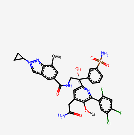 CCOc1c(CC(N)=O)cc([C@@](O)(CNC(=O)c2cc(OC)c3nn(C4CC4)cc3c2)c2cccc(S(N)(=O)=O)c2)nc1-c1cc(Cl)c(F)cc1F